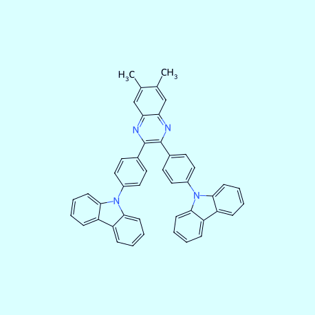 Cc1cc2nc(-c3ccc(-n4c5ccccc5c5ccccc54)cc3)c(-c3ccc(-n4c5ccccc5c5ccccc54)cc3)nc2cc1C